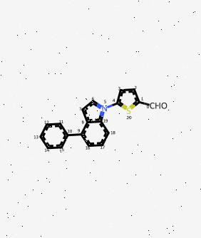 O=Cc1ccc(-n2ccc3c(-c4ccccc4)cccc32)s1